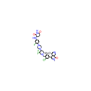 COc1cc(-c2cn(C)c(=O)c3cnccc23)cc(Cl)c1CN1CC[C@H](N2CCN(c3ccc(N[C@@H]4CCC(=O)NC4=O)cc3F)CC2)C(F)(F)C1